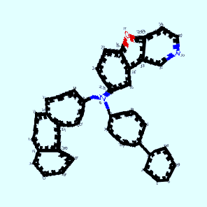 c1ccc(-c2ccc(N(c3ccc4ccc5ccccc5c4c3)c3ccc4oc5ccncc5c4c3)cc2)cc1